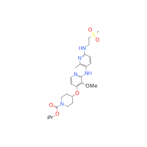 COc1c(OC2CCN(C(=O)OC(C)C)CC2)ccnc1Nc1ccc(NCCS(C)(=O)=O)nc1C